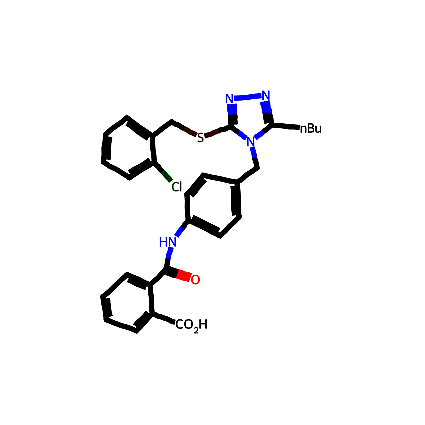 CCCCc1nnc(SCc2ccccc2Cl)n1Cc1ccc(NC(=O)c2ccccc2C(=O)O)cc1